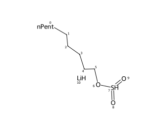 CCCCCCCCCCO[SH](=O)=O.[LiH]